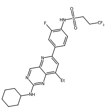 CCc1cc(-c2ccc(NS(=O)(=O)CCC(F)(F)F)c(F)c2)nc2cnc(NC3CCCCC3)nc12